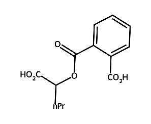 CCCC(OC(=O)c1ccccc1C(=O)O)C(=O)O